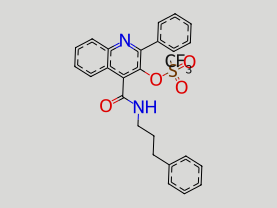 O=C(NCCCc1ccccc1)c1c(OS(=O)(=O)C(F)(F)F)c(-c2ccccc2)nc2ccccc12